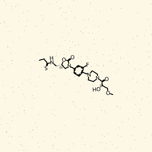 CCC(=S)NC[C@H]1CN(c2ccc(N3CCN(C(=O)[C@@H](O)COC)CC3)c(F)c2)C(=O)O1